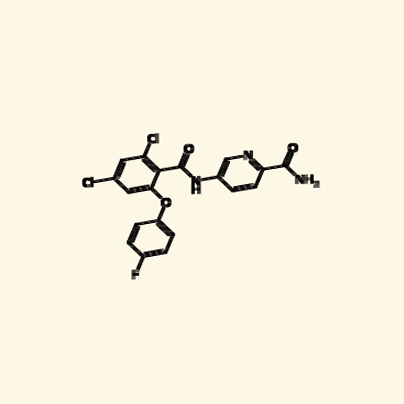 NC(=O)c1ccc(NC(=O)c2c(Cl)cc(Cl)cc2Oc2ccc(F)cc2)cn1